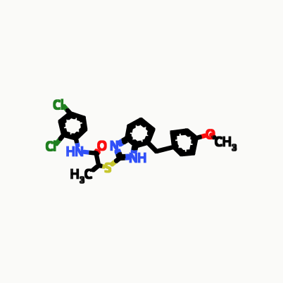 COc1ccc(Cc2cccc3nc(SC(C)C(=O)Nc4ccc(Cl)cc4Cl)[nH]c23)cc1